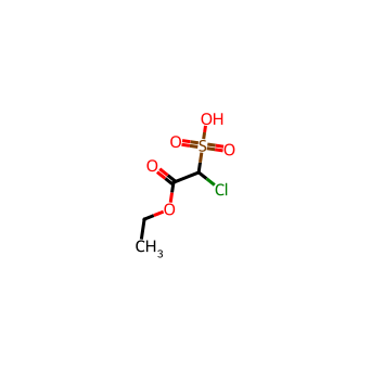 CCOC(=O)C(Cl)S(=O)(=O)O